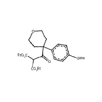 CCOC(=O)C(C(=O)OCC)C(=O)C1(c2ccc(OC)cc2)CCOCC1